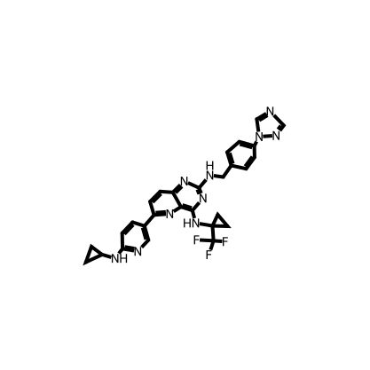 FC(F)(F)C1(Nc2nc(NCc3ccc(-n4cncn4)cc3)nc3ccc(-c4ccc(NC5CC5)nc4)nc23)CC1